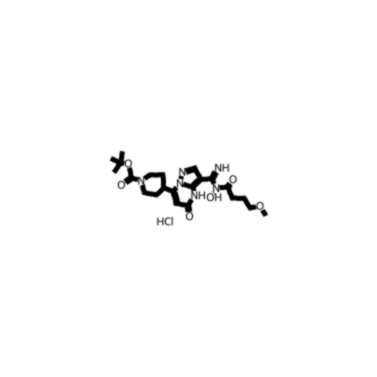 COCCCC(=O)N(O)C(=N)c1cnn2c(C3CCN(C(=O)OC(C)(C)C)CC3)cc(=O)[nH]c12.Cl